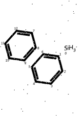 [SiH3].c1ccccc1.c1ccccc1